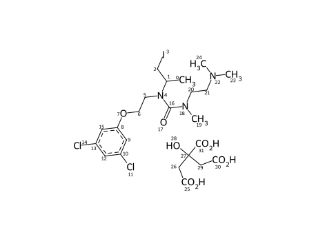 CC(CI)N(CCOc1cc(Cl)cc(Cl)c1)C(=O)N(C)CCN(C)C.O=C(O)CC(O)(CC(=O)O)C(=O)O